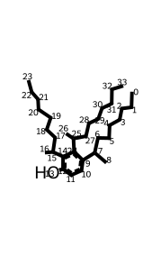 CCCCCCCC(C)c1ccc(O)c(C(C)CCCCCCC)c1C(C)CCCCCCC